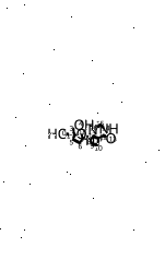 C#C[C@@]1(CO)C=C[C@H](n2ccc3c(=O)[nH]cnc32)O1